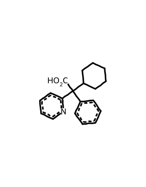 O=C(O)C(c1ccccc1)(c1ccccn1)C1CCCCC1